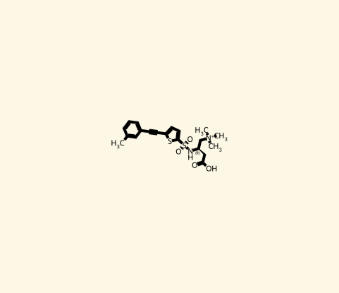 Cc1cccc(C#Cc2ccc(S(=O)(=O)N[C@H](CC(=O)O)C[N+](C)(C)C)s2)c1